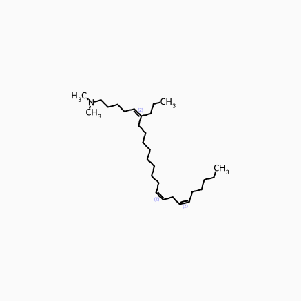 CCCCC/C=C\C/C=C\CCCCCCCC/C(=C\CCCCN(C)C)CCC